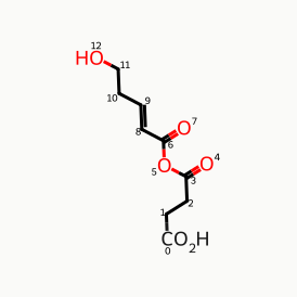 O=C(O)CCC(=O)OC(=O)C=CCCO